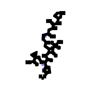 N=C(/C=N\NCC1C(NC(=O)/C(=N\OC2(C(=O)O)CC2)c2csc(N)n2)C(=O)N1S(=O)(=O)O)CNC(=N)NC1CCNC1